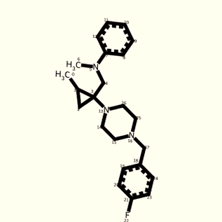 CC1CC1(CN(C)c1ccccc1)N1CCN(Cc2ccc(F)cc2)CC1